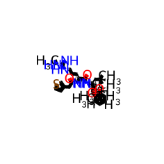 CNC(=N)NCCC[C@H](NC(=O)Cc1ccsc1)C(=O)N[C@@H](CC(C)C)B1O[C@@H]2C[C@@H]3C[C@@H](C3(C)C)[C@]2(C)O1